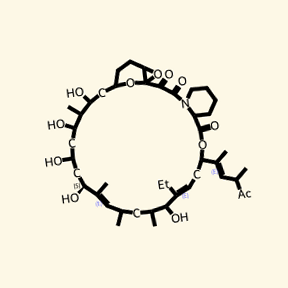 CC/C1=C\CC(/C(C)=C/C(C)C(C)=O)OC(=O)C2CCCCN2C(=O)C(=O)C23OC(CCC2O3)CC(O)C(C)C(O)CC(O)C[C@H](O)/C(C)=C/C(C)CC(C)C1O